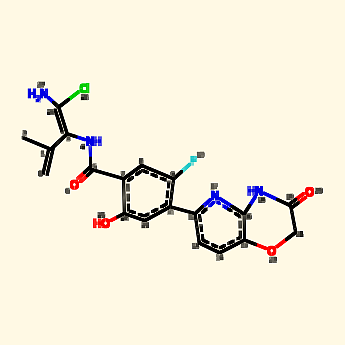 C=C(C)/C(NC(=O)c1cc(F)c(-c2ccc3c(n2)NC(=O)CO3)cc1O)=C(\N)Cl